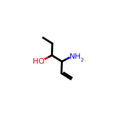 C=CC(N)C(O)CC